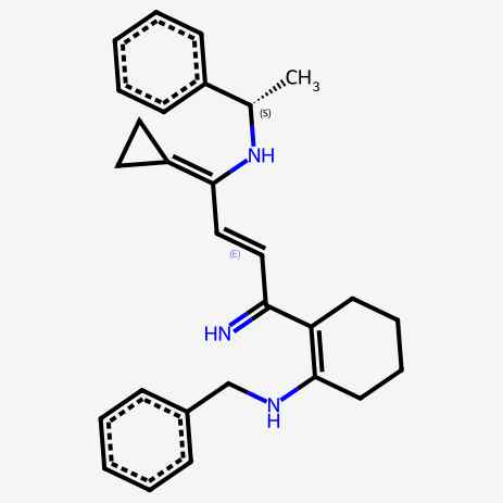 C[C@H](NC(/C=C/C(=N)C1=C(NCc2ccccc2)CCCC1)=C1CC1)c1ccccc1